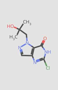 CC(C)(O)Cn1ncc2nc(Cl)[nH]c(=O)c21